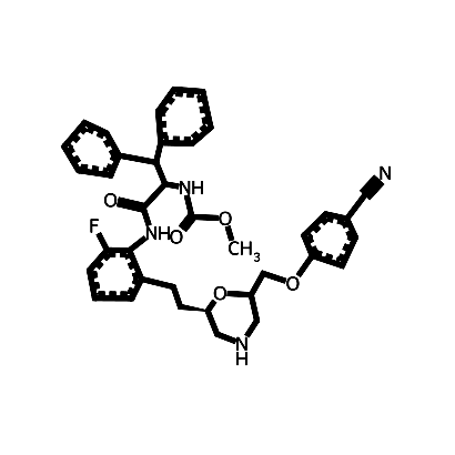 COC(=O)NC(C(=O)Nc1c(F)cccc1CC[C@@H]1CNCC(COc2ccc(C#N)cc2)O1)C(c1ccccc1)c1ccccc1